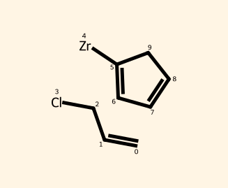 C=CCCl.[Zr][C]1=CC=CC1